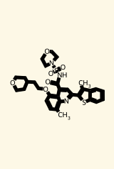 Cc1c(-c2cc(C(=O)NS(=O)(=O)N3CCOCC3)c3c(OCCC4CCOCC4)ccc(C)c3n2)sc2ccccc12